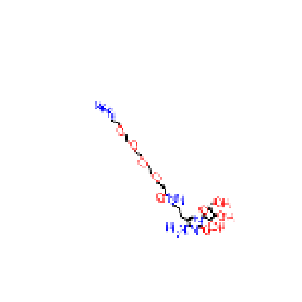 [N-]=[N+]=NCCOCCOCCOCCOCCC(=O)NCCCc1cn([C@@H]2O[C@H](CO)C(O)C2O)c(=O)nc1N